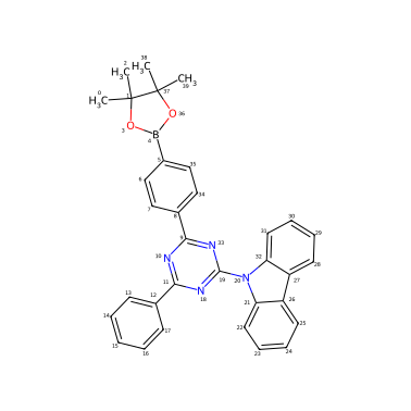 CC1(C)OB(c2ccc(-c3nc(-c4ccccc4)nc(-n4c5ccccc5c5ccccc54)n3)cc2)OC1(C)C